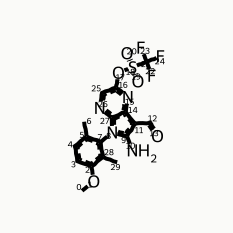 COc1ccc(C)c(-n2c(N)c(C=O)c3nc(OS(=O)(=O)C(F)(F)F)cnc32)c1C